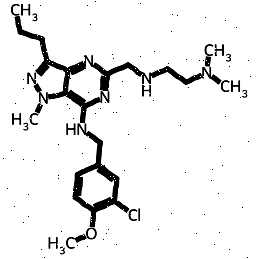 CCCc1nn(C)c2c(NCc3ccc(OC)c(Cl)c3)nc(CNCCN(C)C)nc12